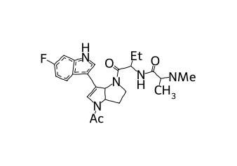 CCC(NC(=O)C(C)NC)C(=O)N1CCC2C1C(c1c[nH]c3cc(F)ccc13)=CN2C(C)=O